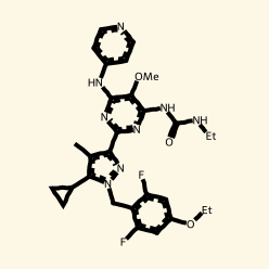 CCNC(=O)Nc1nc(-c2nn(Cc3c(F)cc(OCC)cc3F)c(C3CC3)c2C)nc(Nc2ccncc2)c1OC